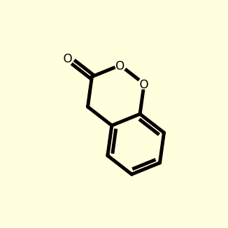 O=C1Cc2ccccc2OO1